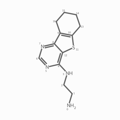 NCCNc1ncnc2c3c(sc12)CCCC3